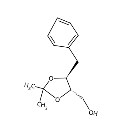 CC1(C)O[C@@H](CO)[C@H](Cc2ccccc2)O1